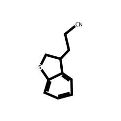 N#CCCC1CSc2ccccc21